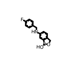 OB1OCc2ccc(NCc3ccc(F)cc3)cc21